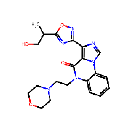 CC(CO)c1nc(-c2ncn3c2c(=O)n(CCN2CCOCC2)c2ccccc23)no1